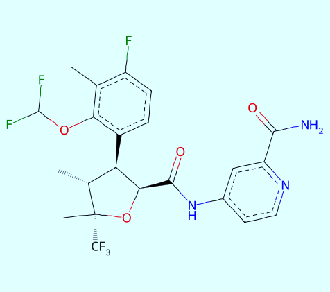 Cc1c(F)ccc([C@H]2[C@@H](C(=O)Nc3ccnc(C(N)=O)c3)O[C@](C)(C(F)(F)F)[C@@H]2C)c1OC(F)F